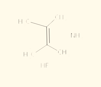 CC(C)=C(C)C.F.N